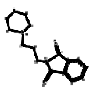 O=C1c2ccccc2C(=O)N1CCCN1CCSCC1